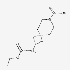 CCOC(=O)NC1CC2(CCN(C(=O)O)CC2)C1